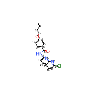 CCCCOc1ccc(C(=O)Nc2ccc3ccc(Cl)nc3n2)cc1